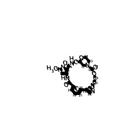 Cn1cc2c(n1)C(=O)NCC1CN(CCO1)C(=O)OCCn1cc(cn1)-c1cccc(c1)C(=O)N2